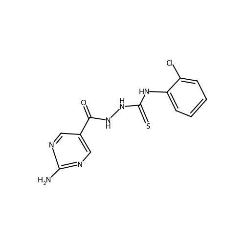 Nc1ncc(C(=O)NNC(=S)Nc2ccccc2Cl)cn1